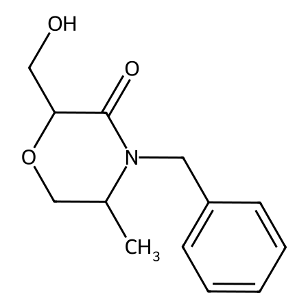 CC1COC(CO)C(=O)N1Cc1ccccc1